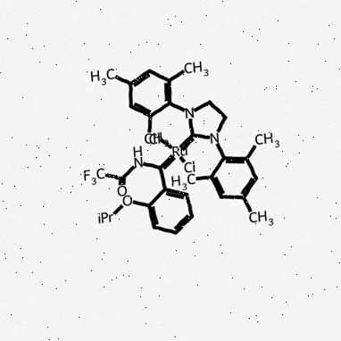 Cc1cc(C)c(N2CCN(c3c(C)cc(C)cc3C)[C]2=[Ru]([Cl])([Cl])=[C](NC(=O)C(F)(F)F)c2ccccc2OC(C)C)c(C)c1